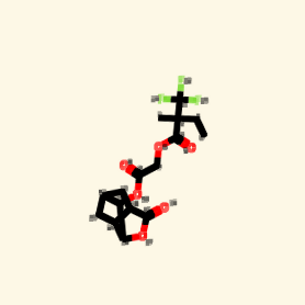 CCC(C)(C(=O)OCC(=O)OC1C2CC3C(=O)OC1C3C2)C(F)(F)F